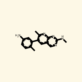 CNc1ncc2cc(-c3cc(N)ccc3C)c(C)nc2n1